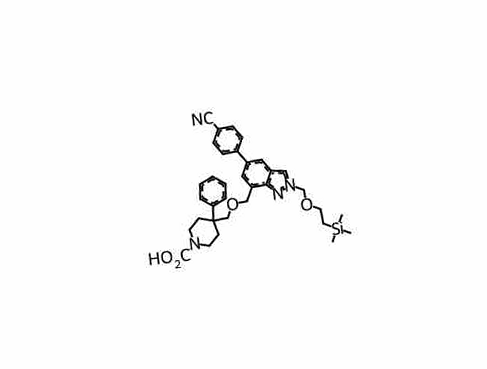 C[Si](C)(C)CCOCn1cc2cc(-c3ccc(C#N)cc3)cc(COCC3(c4ccccc4)CCN(C(=O)O)CC3)c2n1